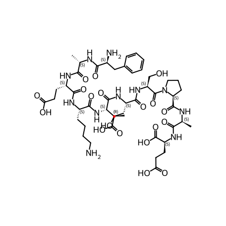 C[C@H](NC(=O)[C@@H](N)Cc1ccccc1)C(=O)N[C@@H](CCC(=O)O)C(=O)N[C@@H](CCCCN)C(=O)N[C@H](C(=O)N[C@@H](CCC(=O)O)C(=O)N[C@@H](CO)C(=O)N1CCC[C@H]1C(=O)N[C@@H](C)C(=O)N[C@@H](CCC(=O)O)C(=O)O)[C@@H](C)O